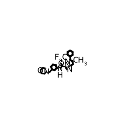 Cc1cc2ncc(C(=O)Nc3cccc(CN4CCOCC4)c3)n2nc1-c1ccccc1C(F)(F)F